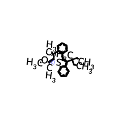 CCC(C)(CC)c1c(-c2ccccc2[C@H](C)/C=C(/C)OC)sc2ccccc12